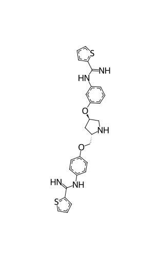 N=C(Nc1ccc(OC[C@@H]2C[C@@H](Oc3cccc(NC(=N)c4cccs4)c3)CN2)cc1)c1cccs1